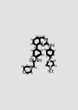 CCN1CCN(c2ccc(Nc3ncc4cccc(-c5ccc(NC(=O)CN6CCOCC6)cc5)c4n3)cc2)CC1